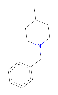 C[C]1CCN(Cc2ccccc2)CC1